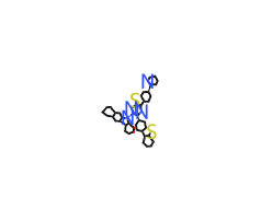 c1ccc(-c2ccc3c(c2)sc2nc(-n4c5ccccc5c5cc6ccccc6cc54)c(-c4ccc5c(c4)sc4ccccc45)nc23)nc1